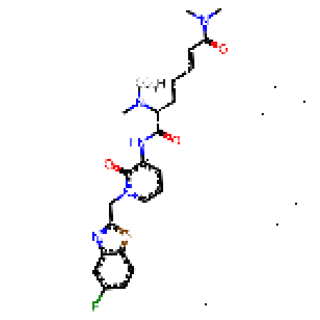 CN(C)C(=O)/C=C/CC[C@@H](C(=O)Nc1cccn(Cc2nc3cc(F)ccc3s2)c1=O)N(C)C(=O)O